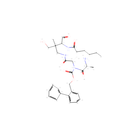 CCCCCC(=O)NC([C]=O)C(C)(CO)CNC(=O)[C@H](C)N(C(=O)OCc1ccccc1-c1ccccc1)C(=O)[C@H](C)N